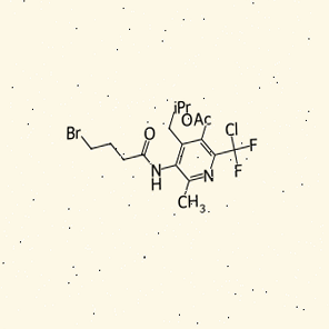 CC(=O)Oc1c(C(F)(F)Cl)nc(C)c(NC(=O)CCCBr)c1CC(C)C